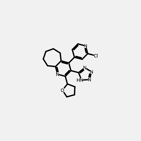 Clc1cc(-c2c3c(nc(C4CCCO4)c2-c2nnn[nH]2)CCCCC3)ccn1